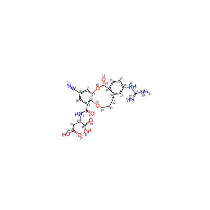 N#Cc1cc2c(c(C(=O)NC(CC(=O)O)C(=O)O)c1)OCCCc1cc(NC(=N)N)ccc1C(=O)O2